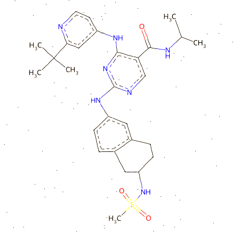 CC(C)NC(=O)c1cnc(Nc2ccc3c(c2)CCC(NS(C)(=O)=O)C3)nc1Nc1ccnc(C(C)(C)C)c1